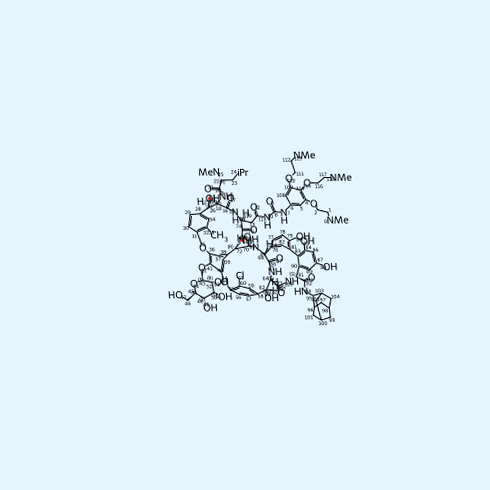 CNCCOc1cc(NC(=O)NC(=O)C[C@@H]2NC(=O)[C@H](NC(=O)[C@@H](CC(C)C)NC)[C@H](O)c3ccc(c(C)c3)Oc3cc4cc(c3O[C@@H]3O[C@H](CO)[C@@H](O)[C@H](O)[C@H]3O)Oc3ccc(cc3Cl)[C@@H](O)[C@@H]3NC(=O)[C@H](NC(=O)[C@@H]4NC2=O)c2ccc(O)c(c2)-c2c(O)cc(O)cc2[C@@H](C(=O)NC2C4CC5CC(C4)CC2C5)NC3=O)cc(OCCNC)c1OCCNC